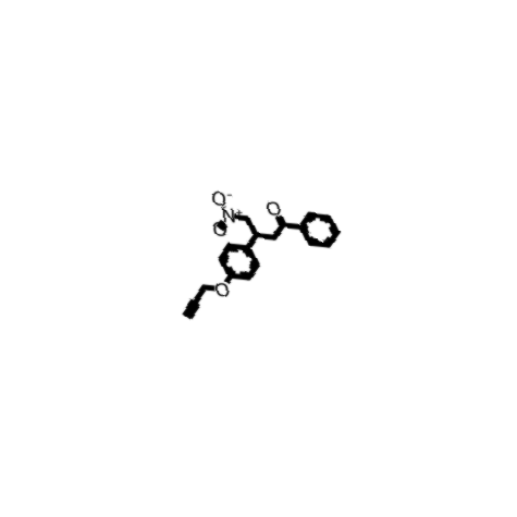 C#CCOc1ccc(C(CC(=O)c2ccccc2)C[N+](=O)[O-])cc1